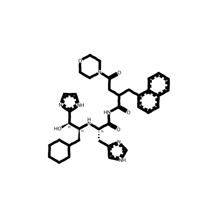 O=C(NC(=O)[C@H](Cc1c[nH]cn1)N[C@@H](CC1CCCCC1)[C@@H](O)c1ncc[nH]1)C(CC(=O)N1CCOCC1)Cc1cccc2ccccc12